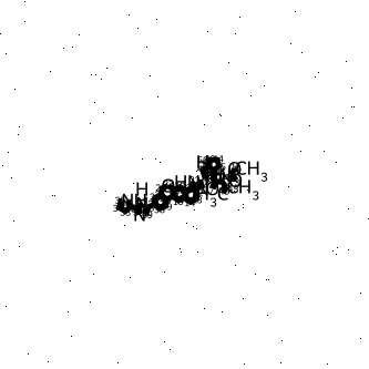 COC(=O)N[C@H](C(=O)N1[C@H](c2nc3ccc4cc5c(cc4c3[nH]2)OCc2cc(-c3cnc(C4CCCN4)[nH]3)ccc2-5)C[C@@H]2CCC[C@@H]21)C(C)C